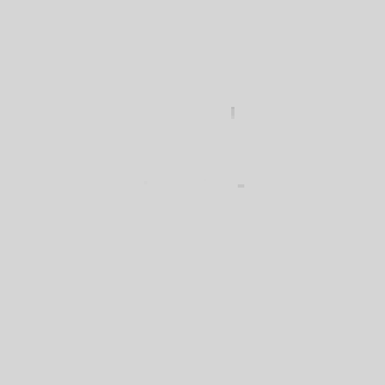 N#CC1(F)C=C(F)C=NC1